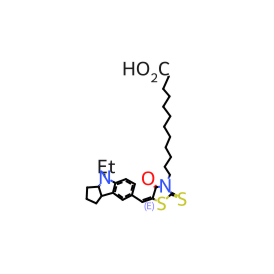 CCN1c2ccc(/C=C3/SC(=S)N(CCCCCCCCCCCC(=O)O)C3=O)cc2C2CCCC21